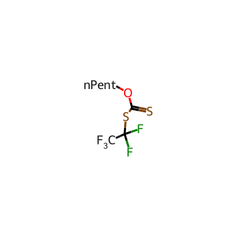 CCCCCOC(=S)SC(F)(F)C(F)(F)F